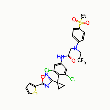 CCS(=O)(=O)c1ccc(N(CC(=O)Nc2cc(Cl)c(C3(c4noc(-c5cccs5)n4)CC3)c(Cl)c2)CC(F)(F)F)cc1